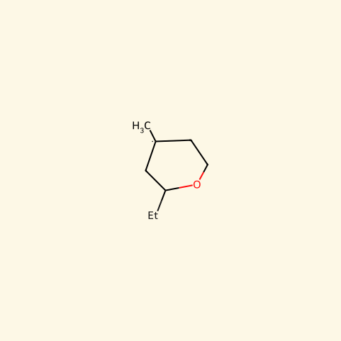 CCC1C[C](C)CCO1